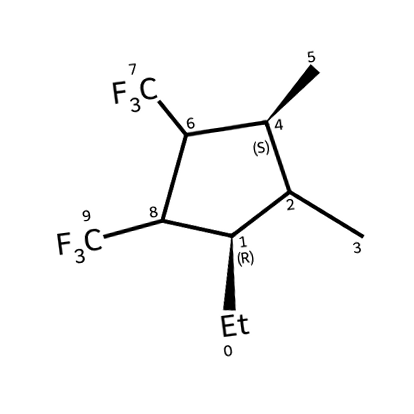 CC[C@@H]1C(C)[C@H](C)C(C(F)(F)F)C1C(F)(F)F